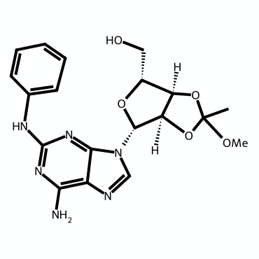 COC1(C)O[C@@H]2[C@H](O1)[C@@H](CO)O[C@H]2n1cnc2c(N)nc(Nc3ccccc3)nc21